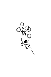 CCCCCc1ncc(C(=O)OCC)c(NCc2ccc(-c3ccccc3-c3nnnn3C(c3ccccc3)(c3ccccc3)c3ccccc3)cc2)n1